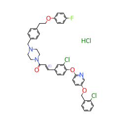 Cl.O=C(/C=C/c1ccc(Oc2ccc(OCc3ccccc3Cl)cn2)c(Cl)c1)N1CCN(Cc2ccc(CCOc3ccc(F)cc3)cc2)CC1